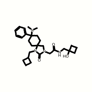 CN(C)C1(c2ccccc2)CCC2(CC1)CN(CC(=O)NCC1(O)CCC1)C(=O)N2CC1CCC1